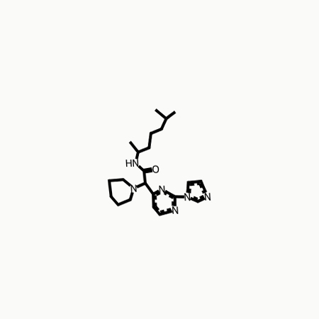 CC(C)CCCC(C)NC(=O)C(c1ccnc(-n2ccnc2)n1)N1CCCCC1